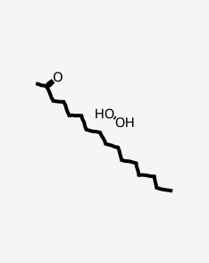 CCCCCCCCCCCCCCC(C)=O.OO